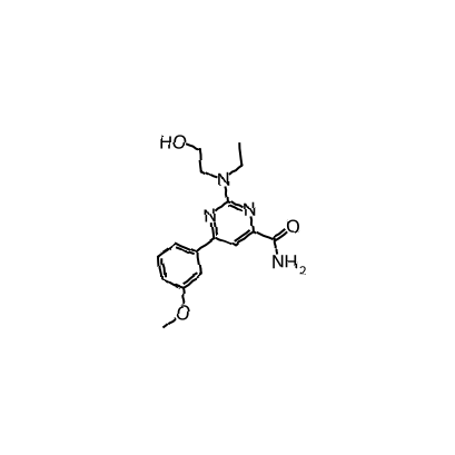 CCN(CCO)c1nc(C(N)=O)cc(-c2cccc(OC)c2)n1